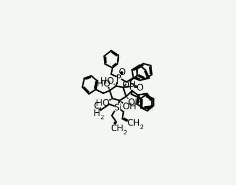 C=CC[Si](CC=C)(CC=C)[C@]1(O)[C@@H](O)[C@](O)(Cc2ccccc2)[C@@](O)(P(=O)(Cc2ccccc2)Cc2ccccc2)[C@](O)(P(=O)(Cc2ccccc2)Cc2ccccc2)[C@@]1(O)Cc1ccccc1